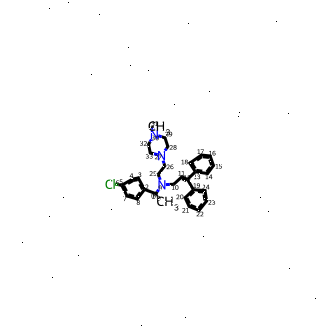 C[C@H](c1ccc(Cl)cc1)N(CC=C(c1ccccc1)c1ccccc1)CCN1CCN(C)CC1